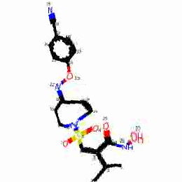 CC(C)C(CS(=O)(=O)N1CCC(=NOc2ccc(C#N)cc2)CC1)C(=O)NO